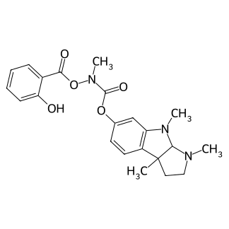 CN(OC(=O)c1ccccc1O)C(=O)Oc1ccc2c(c1)N(C)C1N(C)CCC21C